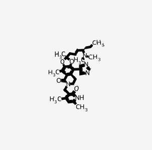 CCC[C@H](CCC[C@]1(C)Oc2c(C)c3c(c(-c4cncnc4)c2O1)CCN(Cc1c(C)cc(C)[nH]c1=O)C3=O)N(C)C